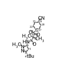 Cn1nc(C(C)(C)C)cc1NC(=O)C(C)(C)S(=O)(=O)c1ccc(C#N)cc1